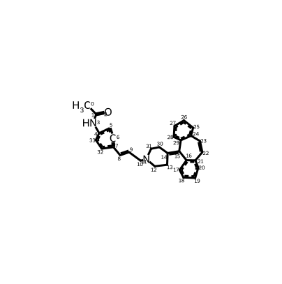 CC(=O)Nc1ccc(/C=C/CN2CCC(=C3c4ccccc4C=Cc4ccccc43)CC2)cc1